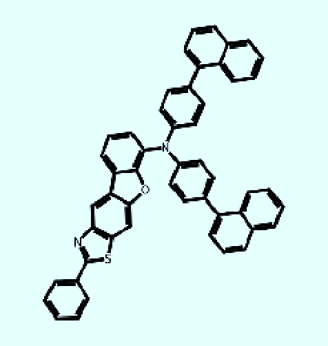 c1ccc(-c2nc3cc4c(cc3s2)oc2c(N(c3ccc(-c5cccc6ccccc56)cc3)c3ccc(-c5cccc6ccccc56)cc3)cccc24)cc1